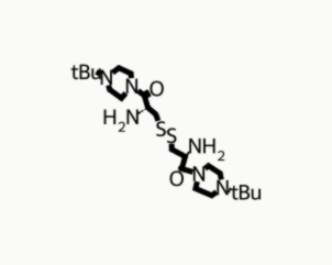 CC(C)(C)N1CCN(C(=O)[C@@H](N)CSSC[C@H](N)C(=O)N2CCN(C(C)(C)C)CC2)CC1